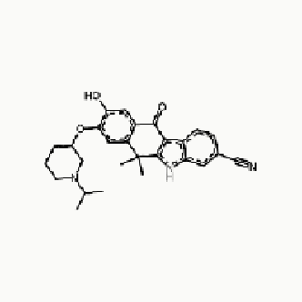 CC(C)N1CCCC(Oc2cc3c(cc2O)C(=O)c2c([nH]c4cc(C#N)ccc24)C3(C)C)C1